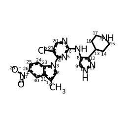 Cc1cn(-c2nc(Nc3c[nH]nc3C3CCNCC3)ncc2Cl)c2ccc([N+](=O)[O-])cc12